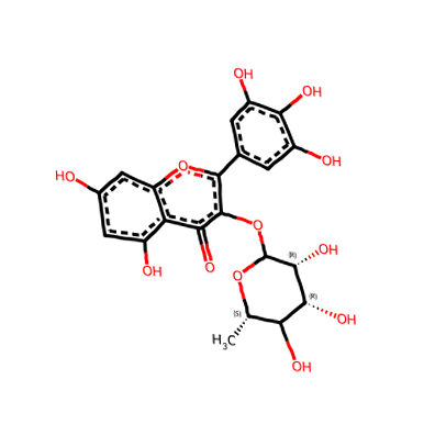 C[C@@H]1OC(Oc2c(-c3cc(O)c(O)c(O)c3)oc3cc(O)cc(O)c3c2=O)[C@H](O)[C@H](O)C1O